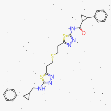 O=C(Nc1nnc(CCSCCc2nnc(NCC3C[C@@H]3c3ccccc3)s2)s1)C1CC1c1ccccc1